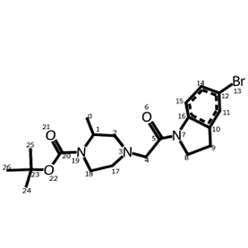 CC1CN(CC(=O)N2CCc3cc(Br)ccc32)CCN1C(=O)OC(C)(C)C